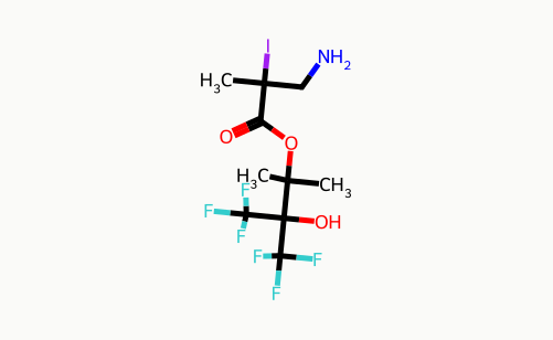 CC(I)(CN)C(=O)OC(C)(C)C(O)(C(F)(F)F)C(F)(F)F